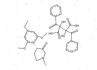 COc1cc(OC)c([C@H]2CCN(C)CC2=O)c(OC)c1.O=C(O)C(O)(C(=O)c1ccccc1)C(O)(C(=O)O)C(=O)c1ccccc1